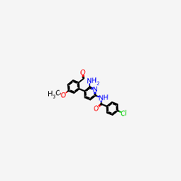 COc1ccc(C=O)c(-c2ccc(NC(=O)c3ccc(Cl)cc3)nc2N)c1